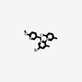 COc1ccc(C[n+]2cc(Br)cc(C)c2-[n+]2cc(C)ccc2Cl)cn1